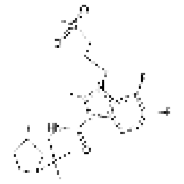 Cc1c(C(=O)NC2C3(C)CCC(C3)C2(C)C)c2ccc(F)c(F)c2n1CCCS(C)(=O)=O